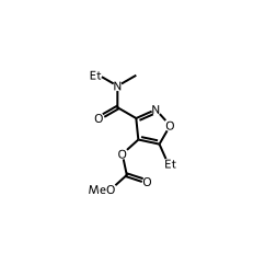 CCc1onc(C(=O)N(C)CC)c1OC(=O)OC